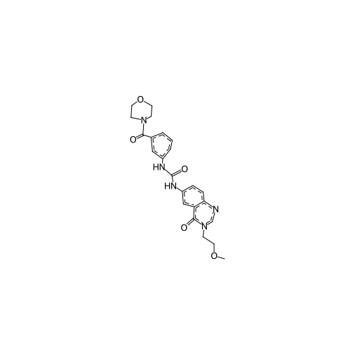 COCCn1cnc2ccc(NC(=O)Nc3cccc(C(=O)N4CCOCC4)c3)cc2c1=O